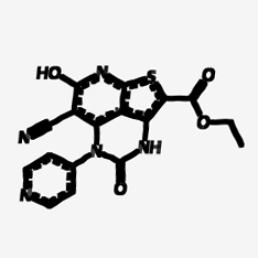 CCOC(=O)c1sc2nc(O)c(C#N)c3c2c1NC(=O)N3c1ccncc1